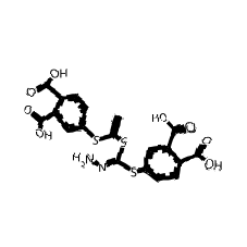 C=C(S/C(=N\N)Sc1ccc(C(=O)O)c(C(=O)O)c1)Sc1ccc(C(=O)O)c(C(=O)O)c1